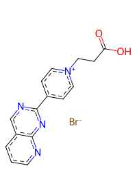 O=C(O)CC[n+]1ccc(-c2ncc3cccnc3n2)cc1.[Br-]